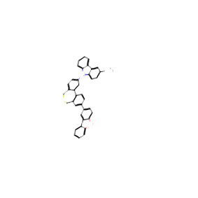 N#Cc1ccc2c(c1)c1ccccc1n2-c1ccc2c(c1)-c1ccc(-c3ccc4oc5ccccc5c4c3)cc1CSC2